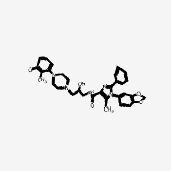 Cc1c(Cl)cccc1N1CCN(CC(O)CNC(=O)c2nc(-c3ccccc3)n(-c3ccc4c(c3)OCO4)c2C)CC1